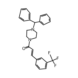 O=C(/C=C/c1cccc(C(F)(F)F)c1)N1CCN(C(c2ccccc2)c2ccccc2)CC1